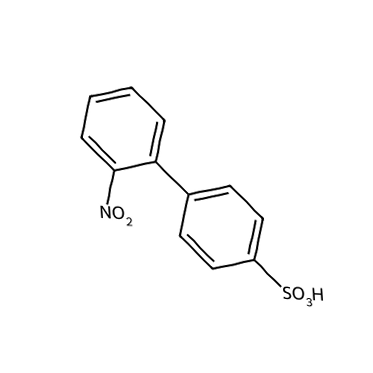 O=[N+]([O-])c1ccccc1-c1ccc(S(=O)(=O)O)cc1